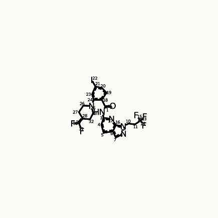 O=C(Nc1ccc2cnn(CCC(F)(F)F)c2n1)c1ccc(I)cc1N1CCC(=C(F)F)CC1